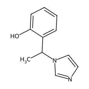 CC(c1ccccc1O)n1ccnc1